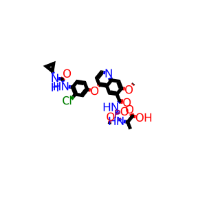 COc1cc2nccc(Oc3ccc(NC(=O)NC4CC4)c(Cl)c3)c2cc1C(=O)NP(=O)(NC(C)C(=O)O)OC